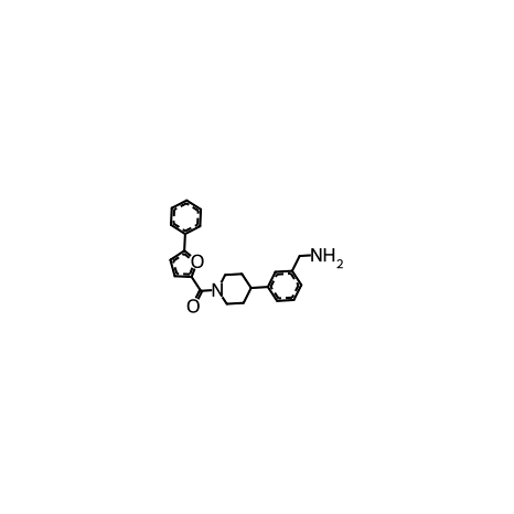 NCc1cccc(C2CCN(C(=O)c3ccc(-c4ccccc4)o3)CC2)c1